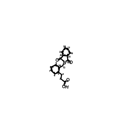 O=C(O)CCc1ccccc1CN1C(=O)c2ccccc2C1=O